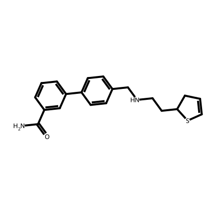 NC(=O)c1cccc(-c2ccc(CNCCC3CC=CS3)cc2)c1